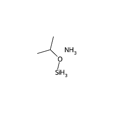 CC(C)O[SiH3].N